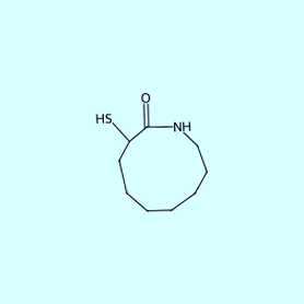 O=C1NCCCCCCCC1S